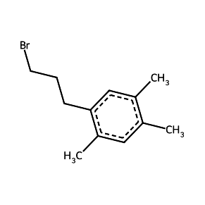 Cc1cc(C)c(CCCBr)cc1C